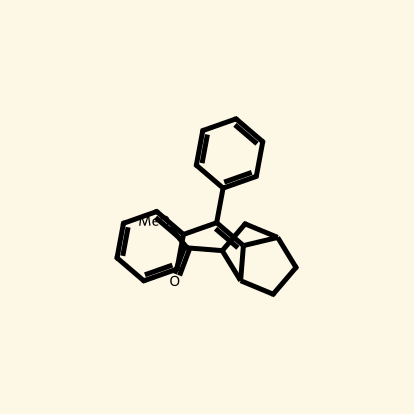 COC(=O)C1CC2CCC1C2=C(c1ccccc1)c1ccccc1